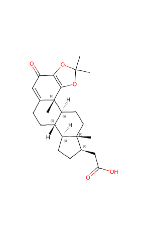 CC1(C)OC2=C(O1)[C@@]1(C)C(=CC2=O)CC[C@@H]2[C@@H]1CC[C@]1(C)[C@@H](CC(=O)O)CC[C@@H]21